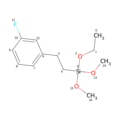 CCO[Si](CCc1cccc(F)c1)(OC)OC